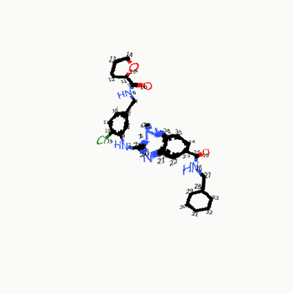 Cn1c(Nc2cc(CNC(=O)C3CCCO3)ccc2Cl)nc2cc(C(=O)NCC3CCCCC3)ccc21